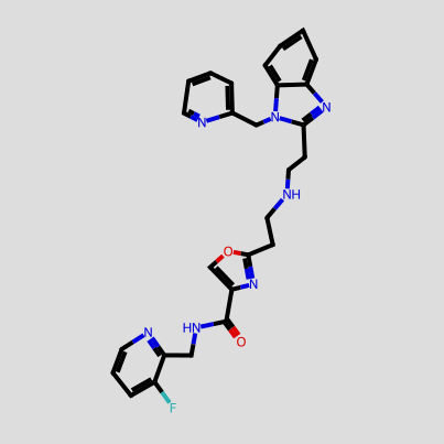 O=C(NCc1ncccc1F)c1coc(CCNCCc2nc3ccccc3n2Cc2ccccn2)n1